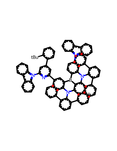 CC(C)(C)c1cc2c3c(c1)N(c1c(-c4ccccc4)cccc1-c1ccccc1)c1cc(-n4c5ccccc5c5ccccc54)ccc1B3c1cc(-c3cc(-c4ccccc4C(C)(C)C)cc(-n4c5ccccc5c5ccccc54)n3)ccc1N2c1c(-c2ccccc2)cccc1-c1ccccc1